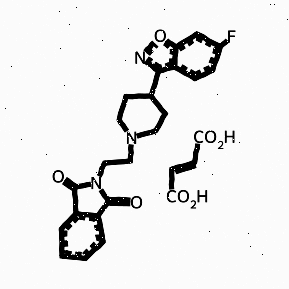 O=C(O)C=CC(=O)O.O=C1c2ccccc2C(=O)N1CCN1CCC(c2noc3cc(F)ccc23)CC1